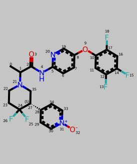 CC(C(=O)Nc1ccc(Oc2cc(F)c(F)cc2F)cn1)N1CCC(F)(F)[C@@H](c2cc[n+]([O-])cc2)C1